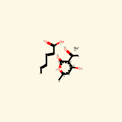 C/C=C/C=C/C(=O)O.CC(=O)c1c([O-])cc(C)oc1=O.[Na+]